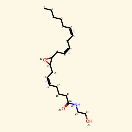 CCCCC/C=C\C/C=C\CC1OC1C/C=C\CCCC(=O)NCCO